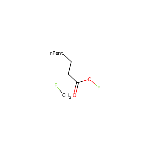 CCCCCCCC(=O)OF.CF